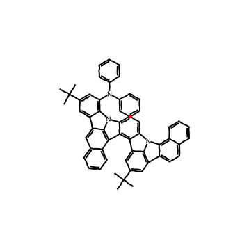 CC(C)(C)c1cc(N(c2ccccc2)c2ccccc2)c2c(c1)c1cc3ccccc3c3c4c5c6cc(C(C)(C)C)cc7c8ccc9ccccc9c8n(c5ccc4n2c13)c76